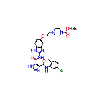 Cc1ccc(Br)cc1NC(=O)c1nc[nH]c1C(=O)Nc1nc2cc(OCCN3CCN(C(=O)OC(C)(C)C)CC3)ccc2[nH]1